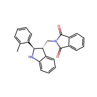 Cc1ccccc1[C@@H]1Nc2ccccc2[C@H]1CN1C(=O)c2ccccc2C1=O